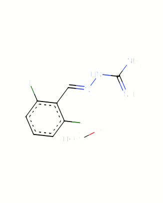 N=C(N)N/N=C/c1c(Cl)cccc1Cl.O=S(=O)(O)O